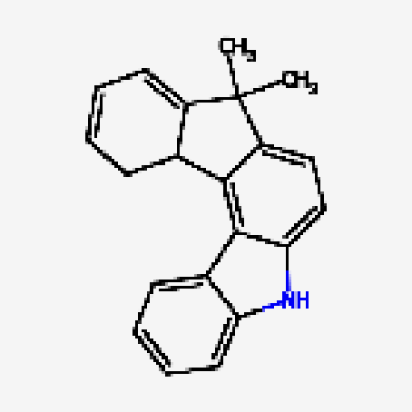 CC1(C)C2=CC=CCC2c2c1ccc1[nH]c3ccccc3c21